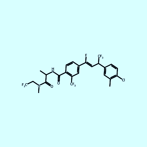 Cc1cc(C(/C=C(\F)c2ccc(C(=O)NC(C)C(=O)N(C)CC(F)(F)F)c(C(F)(F)F)c2)C(F)(F)F)ccc1Cl